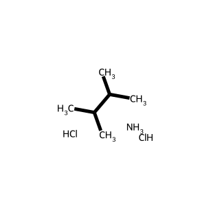 CC(C)C(C)C.Cl.Cl.N